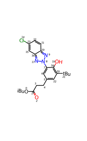 CC(C)COC(=O)CCc1cc(-n2nc3ccc(Cl)cc3n2)c(O)c(C(C)(C)C)c1